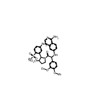 CCOc1cc(C(Nc2ccc3c(N)nccc3c2)C(=O)N2CCC(C(=O)O)C2c2cc(N)ccc2S(=O)(=O)C(C)C)ccc1OC(C)C